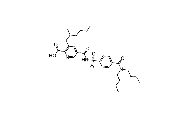 CCCCC(C)Cc1cc(C(=O)NS(=O)(=O)c2ccc(C(=O)N(CCCC)CCCC)cc2)cnc1C(=O)O